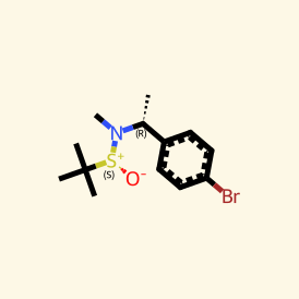 C[C@H](c1ccc(Br)cc1)N(C)[S@+]([O-])C(C)(C)C